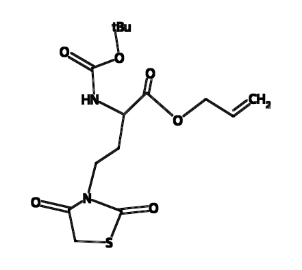 C=CCOC(=O)C(CCN1C(=O)CSC1=O)NC(=O)OC(C)(C)C